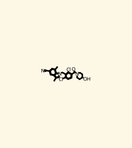 Cc1cn(Cc2c(Cl)ccc(C(=O)N3CCC(O)CC3)c2Cl)c2c(C)cc(C#N)cc12